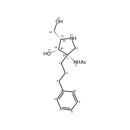 CC(=O)N[C@@]1(CCCc2ccccc2)CN[C@@H](CO)[C@H]1O